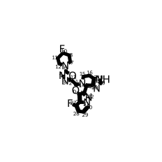 O=C(c1nnc(N2CCC(F)CC2)o1)N1CCc2[nH]cnc2C1c1cc2c(F)cccn2n1